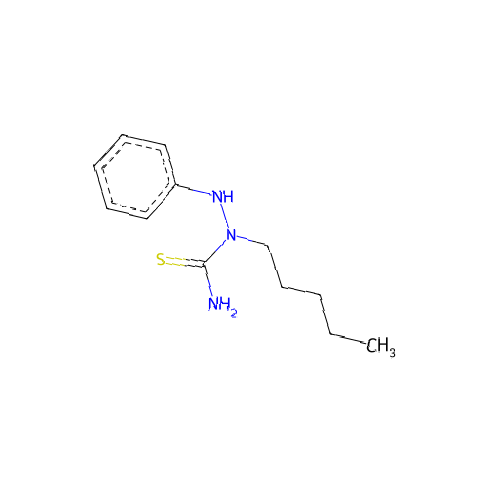 CCCCCN(Nc1ccccc1)C(N)=S